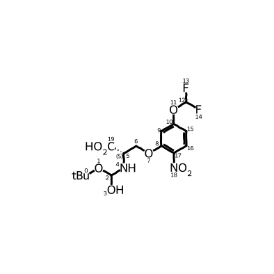 CC(C)(C)OC(O)N[C@@H](COc1cc(OC(F)F)ccc1[N+](=O)[O-])C(=O)O